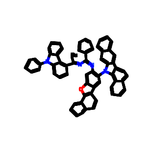 CCC(C)/C(=N\C(=N/c1cc2oc3c4ccccc4ccc3c2cc1-n1c2cc3ccccc3cc2c2ccc3ccccc3c21)c1ccccc1)c1cccc2c1c1ccccc1n2-c1ccccc1